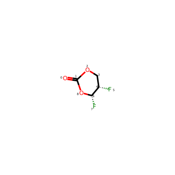 O=C1OC[C@H](F)[C@H](F)O1